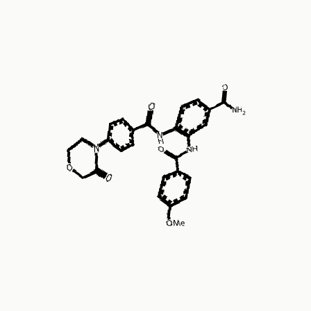 COc1ccc(C(=O)Nc2cc(C(N)=O)ccc2NC(=O)c2ccc(N3CCOCC3=O)cc2)cc1